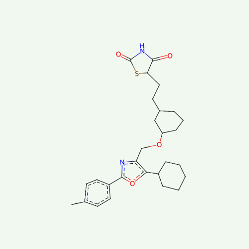 Cc1ccc(-c2nc(COC3CCCC(CCC4SC(=O)NC4=O)C3)c(C3CCCCC3)o2)cc1